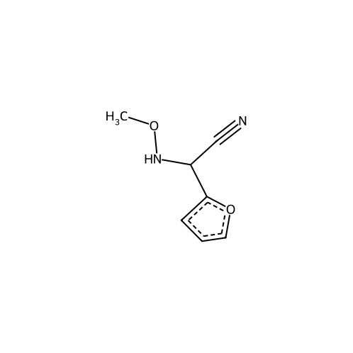 CONC(C#N)c1ccco1